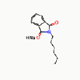 [CH2]CCCCCN1C(=O)c2ccccc2C1=O.[NaH]